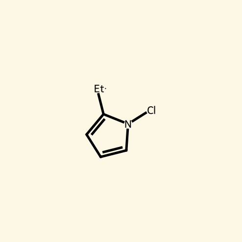 C[CH]c1cccn1Cl